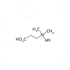 CCC[N+](C)(C)CCC(=O)O